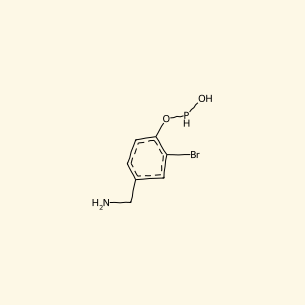 NCc1ccc(OPO)c(Br)c1